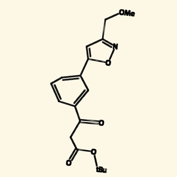 COCc1cc(-c2cccc(C(=O)CC(=O)OC(C)(C)C)c2)on1